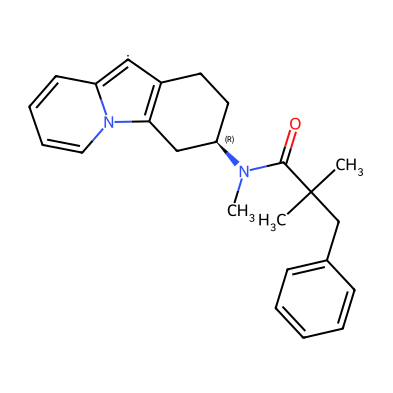 CN(C(=O)C(C)(C)Cc1ccccc1)[C@@H]1CCc2[c]c3ccccn3c2C1